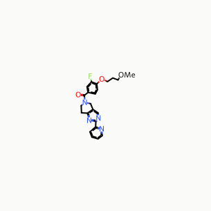 COCCCOc1ccc(C(=O)N2CCc3nc(-c4ccccn4)ncc3C2)cc1F